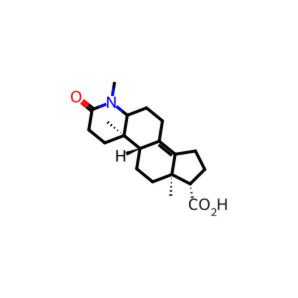 CN1C(=O)CC[C@@]2(C)C1CCC1=C3CC[C@H](C(=O)O)[C@@]3(C)CC[C@@H]12